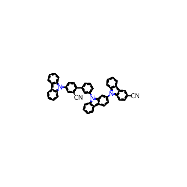 N#Cc1ccc2c(c1)c1ccccc1n2-c1ccc2c3ccccc3n(-c3cccc(-c4ccc(-n5c6ccccc6c6ccccc65)cc4C#N)c3)c2c1